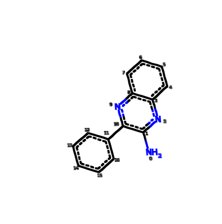 Nc1nc2ccccc2nc1-c1ccccc1